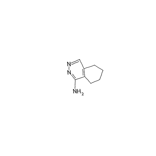 Nc1nncc2c1CCCC2